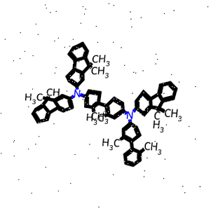 Cc1ccccc1-c1ccc(N(c2ccc(-c3ccc(N(c4ccc5c(c4)C(C)(C)c4ccccc4-5)c4ccc5c(c4)C(C)(C)c4ccccc4-5)cc3C)c(C)c2)c2ccc3c(c2)C(C)(C)c2ccccc2-3)cc1C